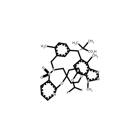 Cc1ccc([C@@H](c2cc(OC(F)F)c3c(nnn3C)c2C)C(C)(C)C(=O)O)cc1CN1CC2(CCOCC2)Oc2ncccc2S1(=O)=O